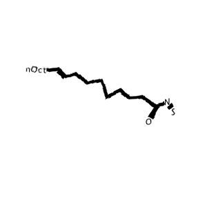 CCCCCCCCC=CCCCCCCCC(=O)N=S